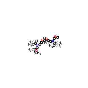 C=Cc1c(/C=C\C)oc2ccc(N(c3cc(C)c(C)c(C)c3)c3ccc4cc5c(cc4c3)oc3c(C)c4oc6cc7cc(N(c8cc(C)c(C)c(C)c8)c8ccc9oc%10ccccc%10c9c8)ccc7cc6c4c(C)c35)cc12